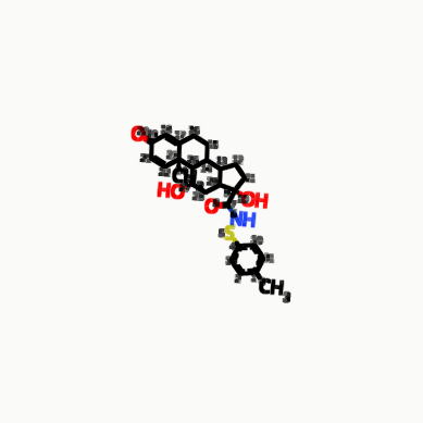 Cc1ccc(SNC(=O)[C@@]2(O)CCC3C4CCC5=CC(=O)C=CC5(C)C4[C@@H](O)CC32)cc1